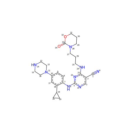 N#Cc1cnc(Nc2ccc(N3CCNCC3)cc2C2CC2)nc1NCCCN1CCCOC1=O